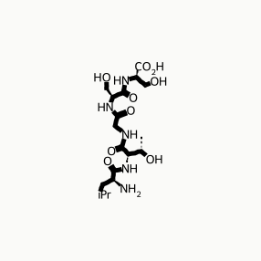 CC(C)C[C@H](N)C(=O)N[C@H](C(=O)NCC(=O)N[C@@H](CO)C(=O)N[C@@H](CO)C(=O)O)[C@H](C)O